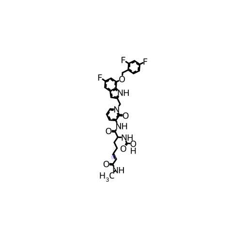 CNC(=O)/C=C/CCC(NC(=O)O)C(=O)Nc1cccn(Cc2cc3cc(F)cc(OCc4ccc(F)cc4F)c3[nH]2)c1=O